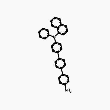 Nc1ccc(-c2ccc(-c3ccc(N(c4ccccc4)c4cccc5ccccc45)cc3)cc2)cc1